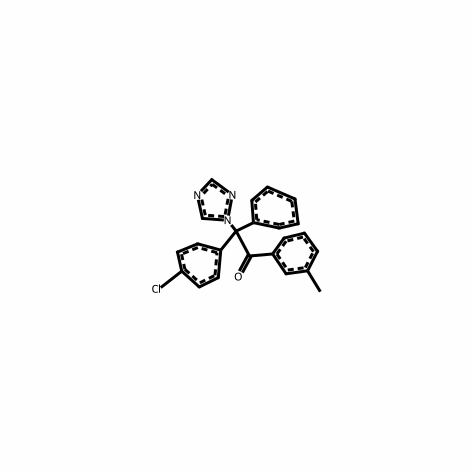 Cc1cccc(C(=O)C(c2ccccc2)(c2ccc(Cl)cc2)n2cncn2)c1